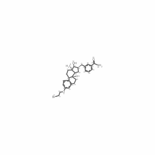 C[C@]12CCC3c4ccc(OCCBr)cc4CC[C@H]3C1C[C@H](Cc1cccc(C(N)=O)c1)[C@@H]2O